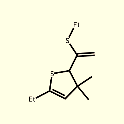 C=C(SCC)C1SC(CC)=CC1(C)C